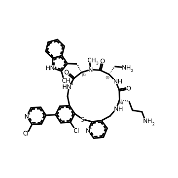 Cc1[nH]c2ccccc2c1C[C@H]1C(=O)NCc2cc(-c3ccnc(Cl)c3)cc(Cl)c2Sc2ncccc2CN[C@@H](CCCN)C(=O)N[C@@H](CN)C(=O)N1C